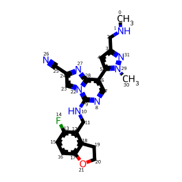 CNCc1cc(-c2cnc(NCc3c(F)ccc4c3CCO4)n3cc(C#N)nc23)n(C)n1